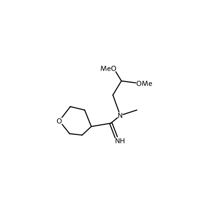 COC(CN(C)C(=N)C1CCOCC1)OC